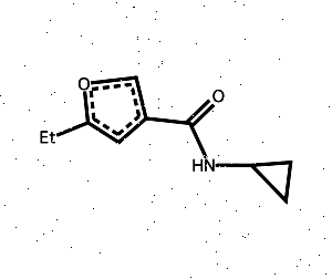 CCc1cc(C(=O)NC2CC2)co1